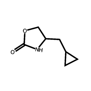 O=C1NC(CC2CC2)CO1